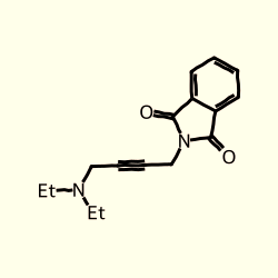 CCN(CC)CC#CCN1C(=O)c2ccccc2C1=O